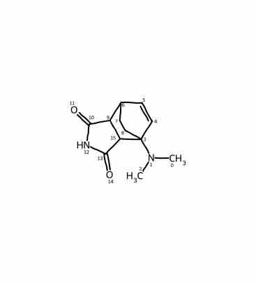 CN(C)C12C=CC(CC1)C1C(=O)NC(=O)C12